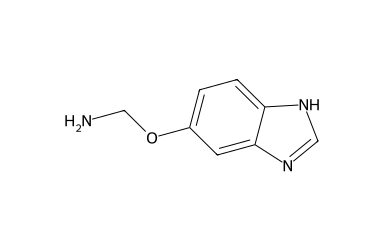 NCOc1ccc2[nH]cnc2c1